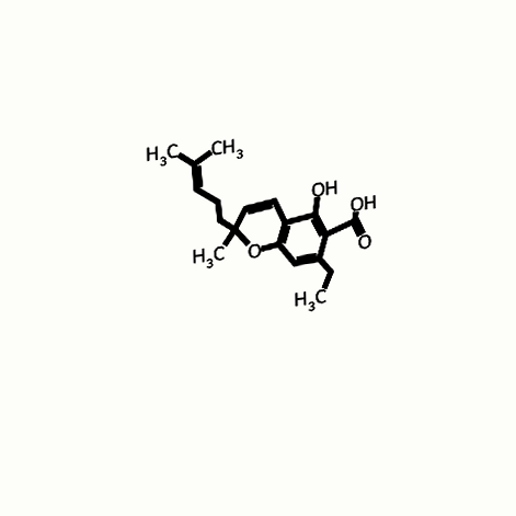 CCc1cc2c(c(O)c1C(=O)O)C=CC(C)(CCC=C(C)C)O2